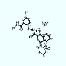 CC(C)NC(=O)c1cc(F)ccc1CNC(=O)c1nc(N2CCCCS2(=O)=O)c2cccnc2c1[O-].[Na+]